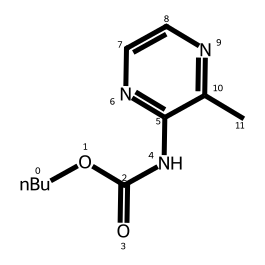 CCCCOC(=O)Nc1nccnc1C